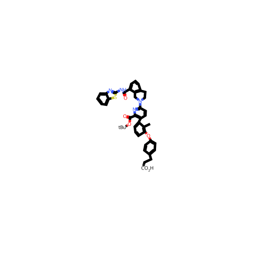 Cc1c(Oc2ccc(CCC(=O)O)cc2)cccc1-c1ccc(N2CCc3cccc(C(=O)Nc4nc5ccccc5s4)c3C2)nc1C(=O)OC(C)(C)C